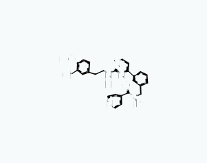 CC(C)N(Cc1cccc(-c2ccnc(NCCc3ccc(O)c(Cl)c3)n2)c1)C(=O)c1ccncc1